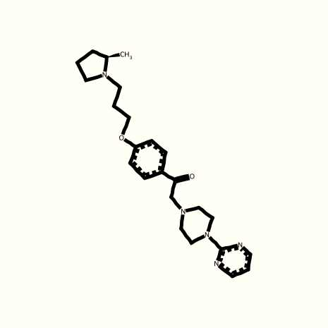 C[C@@H]1CCCN1CCCOc1ccc(C(=O)CN2CCN(c3ncccn3)CC2)cc1